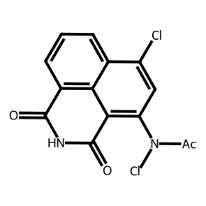 CC(=O)N(Cl)c1cc(Cl)c2cccc3c2c1C(=O)NC3=O